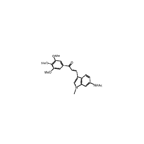 COc1cc(C(=O)C=Cc2cn(C)c3cc(NC(C)=O)ccc23)cc(OC)c1OC